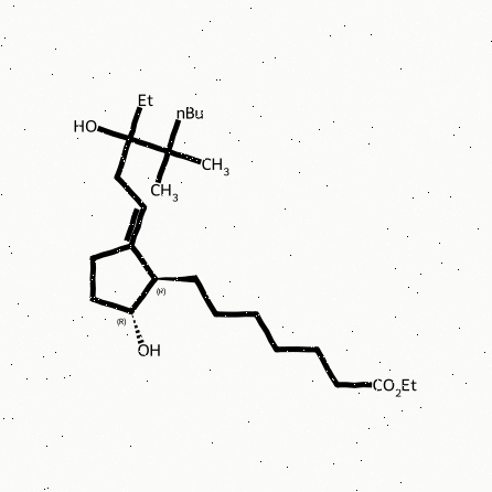 CCCCC(C)(C)C(O)(CC)CC=C1CC[C@@H](O)[C@@H]1CCCCCCC(=O)OCC